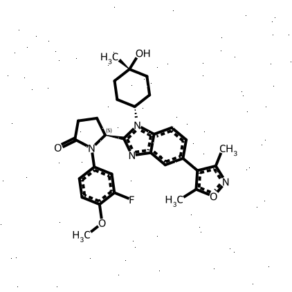 COc1ccc(N2C(=O)CC[C@H]2c2nc3cc(-c4c(C)noc4C)ccc3n2[C@H]2CC[C@@](C)(O)CC2)cc1F